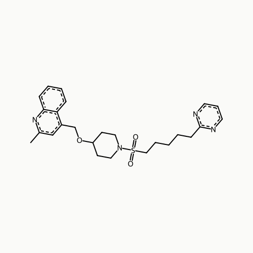 Cc1cc(COC2CCN(S(=O)(=O)CCCCCc3ncccn3)CC2)c2ccccc2n1